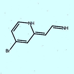 N=C/C=C1/C=C(Br)C=CN1